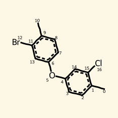 Cc1ccc(Oc2ccc(C)c(Br)c2)cc1Cl